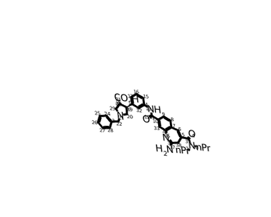 CCCN(CCC)C(=O)C1=Cc2ccc(C(=O)Nc3cccc([C@H]4CN(Cc5ccccc5)C[C@@H]4C(=O)O)c3)cc2N=C(N)C1